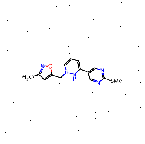 CSc1ncc(C2=CC=CN(Cc3cc(C)no3)N2)cn1